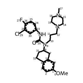 COc1ccc2c(c1)CC(N(CCCN1CCN(C)CC1)C(=O)Nc1ccc(F)c(Cl)c1)CC2